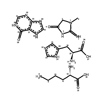 CN1CC(=O)NC1=N.NCCC[C@H](N)C(=O)O.N[C@@H](Cc1cnc[nH]1)C(=O)O.O=c1[nH]cnc2nc[nH]c12